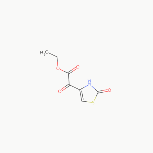 CCOC(=O)C(=O)c1csc(=O)[nH]1